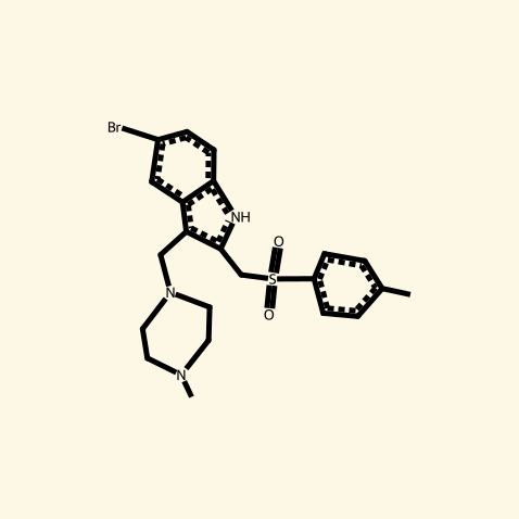 Cc1ccc(S(=O)(=O)Cc2[nH]c3ccc(Br)cc3c2CN2CCN(C)CC2)cc1